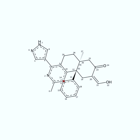 Cc1nc(-c2cn[nH]c2)c2c(n1)[C@@]1(c3ccccc3)CC(=CO)C(=O)C[C@]1(C)CC2